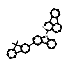 CC1(C)c2ccccc2-c2ccc(-c3ccc4c(c3)c3ccccc3n4-c3ncc4c5c(cccc35)-c3ccccc3-4)cc21